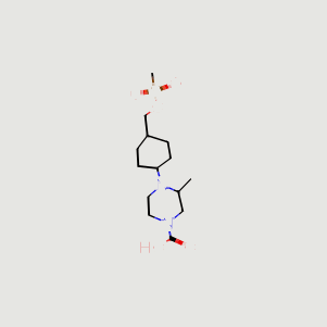 CC1CN(C(=O)O)CCN1C1CCC(COS(C)(=O)=O)CC1